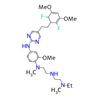 CCN(C)CCNCCN(C)c1ccc(Nc2ncc(CCC3C(F)=C(OC)C=C(OC)C3F)cn2)cc1OC